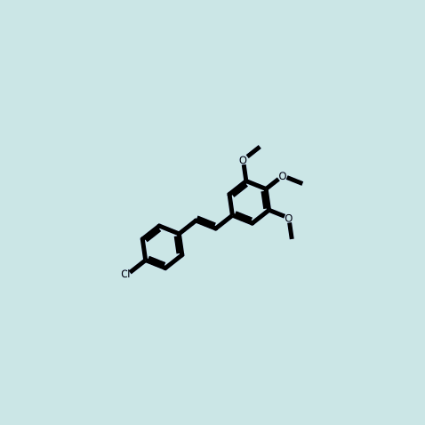 COc1cc(C=Cc2ccc(Cl)cc2)cc(OC)c1OC